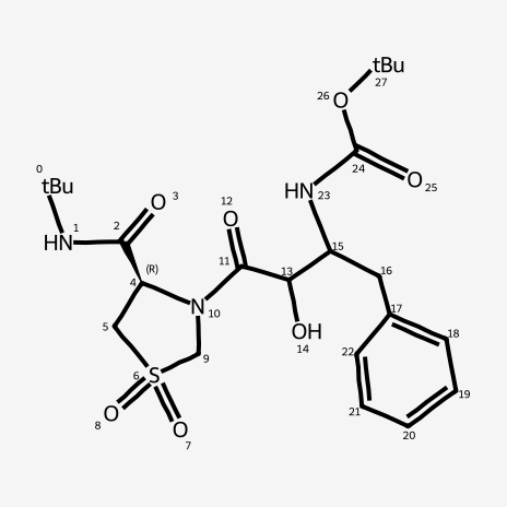 CC(C)(C)NC(=O)[C@@H]1CS(=O)(=O)CN1C(=O)C(O)C(Cc1ccccc1)NC(=O)OC(C)(C)C